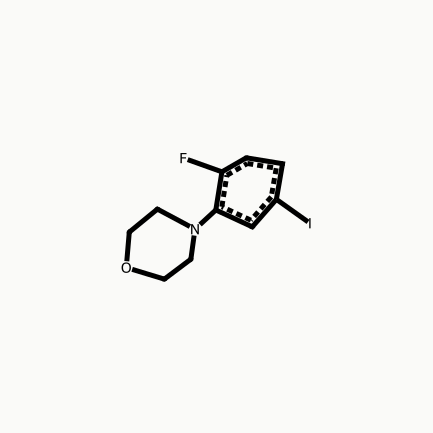 Fc1ccc(I)cc1N1CCOCC1